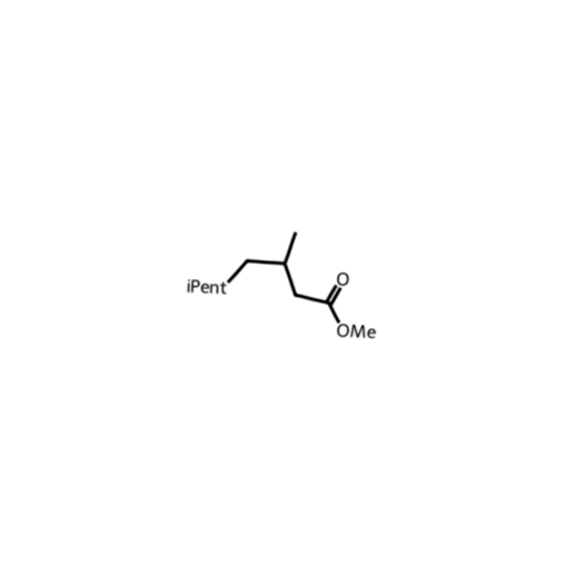 CCCC(C)CC(C)CC(=O)OC